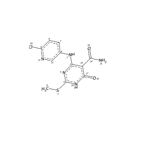 CSc1nc(Nc2ccc(Cl)nc2)c(C(N)=O)c(=O)[nH]1